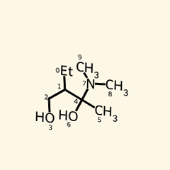 CCC(CO)C(C)(O)N(C)C